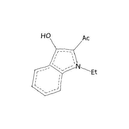 CCn1c(C(C)=O)c(O)c2ccccc21